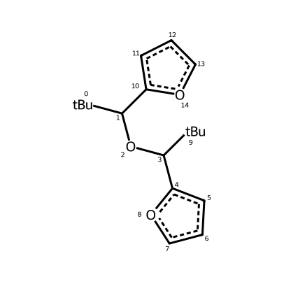 CC(C)(C)C(OC(c1ccco1)C(C)(C)C)c1ccco1